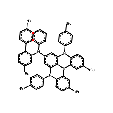 CC(C)(C)c1ccc(-c2ccc(C(C)(C)C)cc2N(c2ccccc2)c2cc3c4c(c2)N(c2ccc(C(C)(C)C)cc2)c2ccc(C(C)(C)C)cc2B4c2cc(C(C)(C)C)ccc2N3c2ccc(C(C)(C)C)cc2)cc1